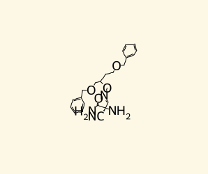 N#C[C@](N)(C=NOC(CCOCc1ccccc1)COCc1ccccc1)C(N)=O